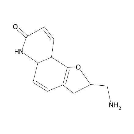 NCC1CC2=C(O1)C1C=CC(=O)NC1C=C2